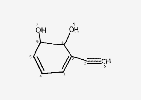 C#CC1=CC=CC(O)C1O